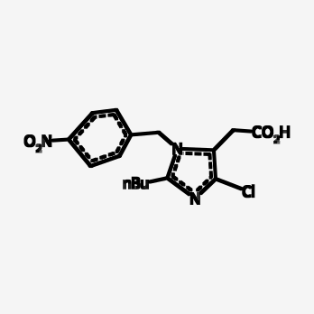 CCCCc1nc(Cl)c(CC(=O)O)n1Cc1ccc([N+](=O)[O-])cc1